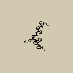 CCOC(=O)C=COC(C)C(=O)OCC